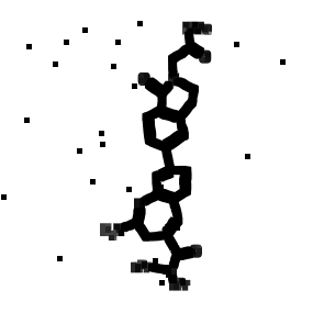 CCCN(CCC)C(=O)C1=Cc2ccc(-c3ccc4c(c3)CCN(CC(=O)NC)C4=O)cc2N=C(N)C1